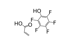 C=CC(=O)O.Oc1c(F)c(F)c(F)c(F)c1F